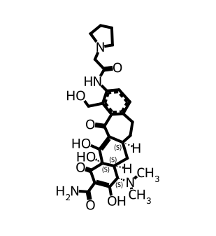 CN(C)[C@@H]1C(O)=C(C(N)=O)C(=O)[C@@]2(O)C(O)=C3C(=O)c4c(ccc(NC(=O)CN5CCCC5)c4CO)CC[C@H]3C[C@@H]12